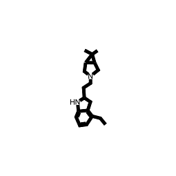 CCc1cccc2c1CC(CCN1CC3C(C1)C3(C)C)N2